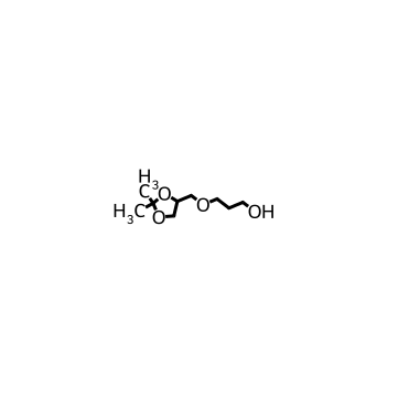 CC1(C)OCC(COCCCO)O1